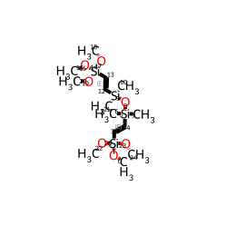 CO[Si](/C=C/[Si](C)(C)O[Si](C)(C)/C=C/[Si](OC)(OC)OC)(OC)OC